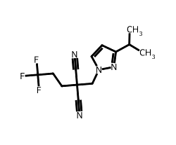 CC(C)c1ccn(CC(C#N)(C#N)CCC(F)(F)F)n1